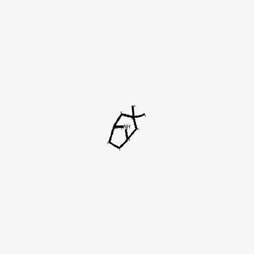 CC1(C)CC2CCC(C1)N2